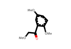 COCC(=O)c1cc(OC)ccc1OC